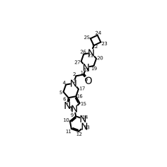 O=C(CN1CCc2nn(-c3cccnn3)cc2C1)N1CCN(C2CCC2)CC1